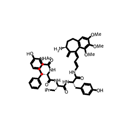 C=C1/C(=C\C=C\NC(=O)[C@H](Cc2ccc(O)cc2)NC(=O)[C@H](CC(C)C)NC(=O)[C@H](Cc2ccc(O)cc2)NC(=O)[C@H](CCc2ccccc2)NC(C)=O)c2c(cc(OC)c(OC)c2OC)CC[C@@H]1N